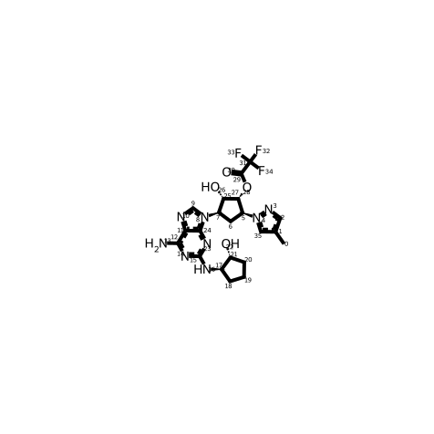 Cc1cnn([C@H]2C[C@@H](n3cnc4c(N)nc(N[C@@H]5CCC[C@H]5O)nc43)[C@H](O)[C@@H]2OC(=O)C(F)(F)F)c1